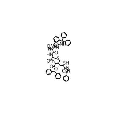 CON=C(C(=O)NC1C(=O)N2C(C(=O)OC(c3ccccc3)c3ccccc3)=C(C=C(S)c3nnc(-c4ccccc4)o3)CSC12)c1csc(NC(c2ccccc2)(c2ccccc2)c2ccccc2)n1